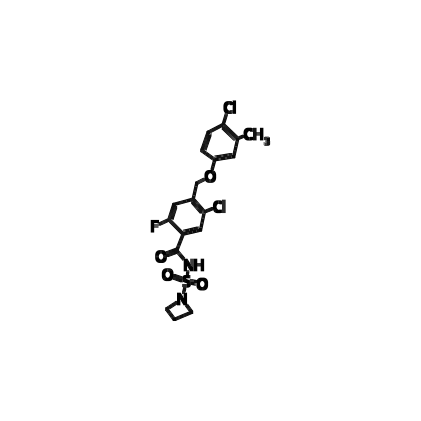 Cc1cc(OCc2cc(F)c(C(=O)NS(=O)(=O)N3CCC3)cc2Cl)ccc1Cl